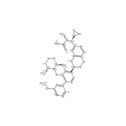 COc1cc(-c2ccc([C@@H]3CCc4ccc([C@H](C5CC5)[C@H](C)C(=O)O)cc4O3)cc2CN2[C@H](C)CCC[C@@H]2C)ccn1